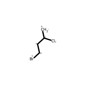 [CH2]C(Cl)CCBr